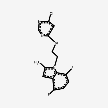 Cc1cc2c(F)ccc(F)c2n1CCNc1cc(Cl)ncn1